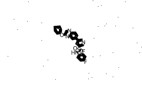 O=S(=O)(Nc1ccc(F)cc1F)c1cncc(-c2ccc3ncc(Oc4ccccc4)nc3c2)c1